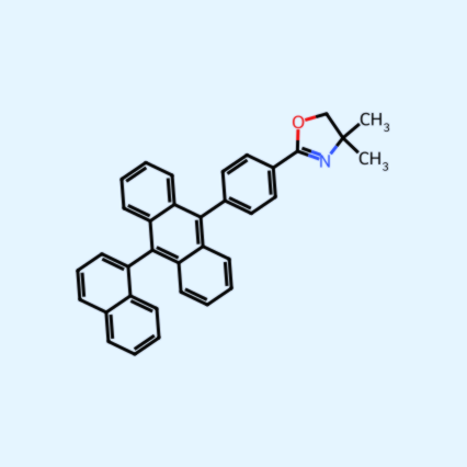 CC1(C)COC(c2ccc(-c3c4ccccc4c(-c4cccc5ccccc45)c4ccccc34)cc2)=N1